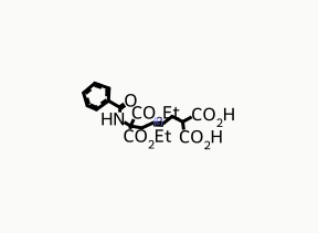 CCOC(=O)C(C/C=C/CC(C(=O)O)C(=O)O)(NC(=O)c1ccccc1)C(=O)OCC